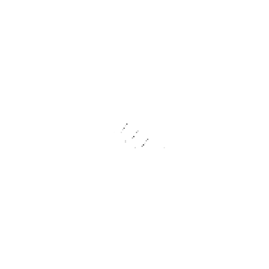 CC(=O)[O-].CC(=O)[O-].CC(=O)[O-].O.[La+3]